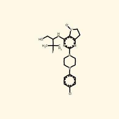 CC(C)(F)C(CO)Nc1nc(N2CCN(c3ccc(Cl)cc3)CC2)nc2c1[S+]([O-])CC2